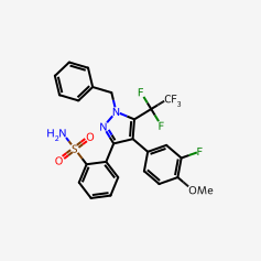 COc1ccc(-c2c(-c3ccccc3S(N)(=O)=O)nn(Cc3ccccc3)c2C(F)(F)C(F)(F)F)cc1F